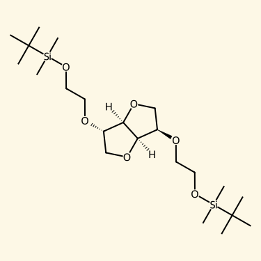 CC(C)(C)[Si](C)(C)OCCO[C@H]1CO[C@H]2[C@@H]1OC[C@H]2OCCO[Si](C)(C)C(C)(C)C